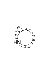 CCC1CCCCCCCCCCNCC1